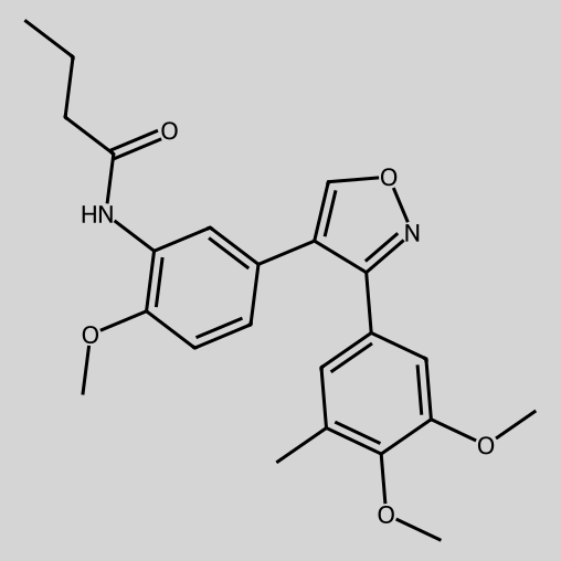 CCCC(=O)Nc1cc(-c2conc2-c2cc(C)c(OC)c(OC)c2)ccc1OC